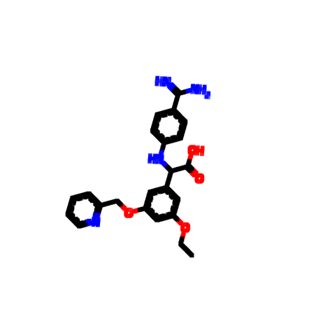 CCOc1cc(OCc2ccccn2)cc(C(Nc2ccc(C(=N)N)cc2)C(=O)O)c1